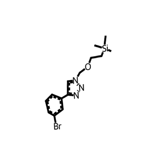 C[Si](C)(C)CCOCn1cc(-c2cccc(Br)c2)nn1